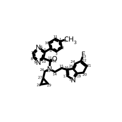 Cc1ccc(-c2nccnc2C(=O)N(CCC2=CN=C3CC=C(F)C=C23)CC2CC2)cc1